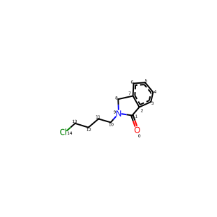 O=C1c2ccccc2CN1CCCCCl